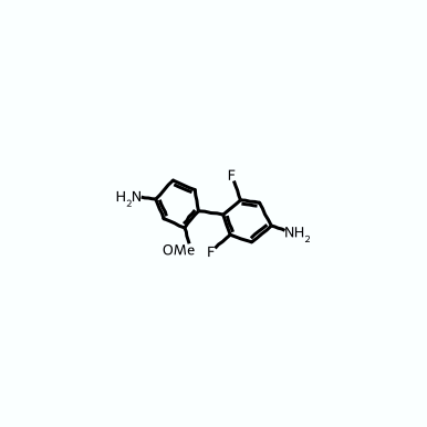 COc1cc(N)ccc1-c1c(F)cc(N)cc1F